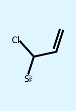 C=CC([Si])Cl